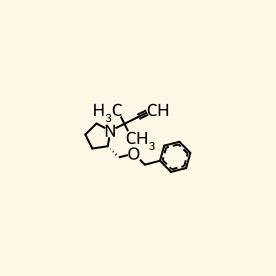 C#CC(C)(C)N1CCC[C@H]1COCc1ccccc1